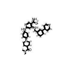 CN(C)C(=O)C1CCN(c2ccc(Nc3cc(NCc4cccc(-c5ccncc5)c4)c(C(N)=O)cn3)cc2)CC1